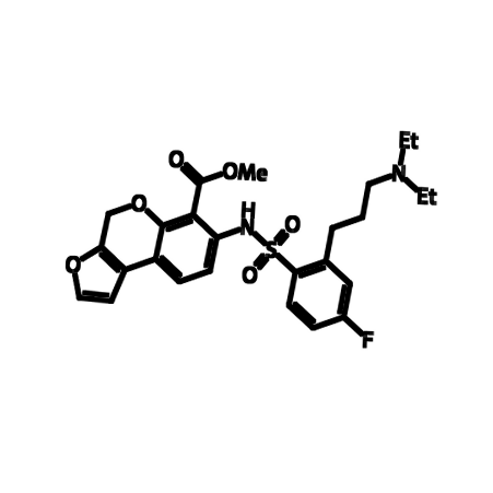 CCN(CC)CCCc1cc(F)ccc1S(=O)(=O)Nc1ccc2c(c1C(=O)OC)OCc1occc1-2